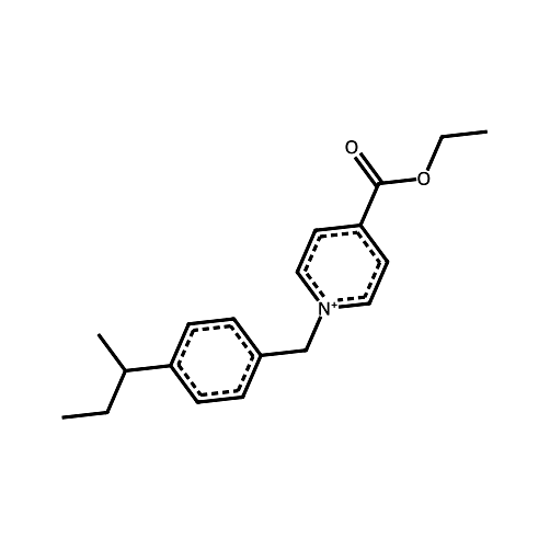 CCOC(=O)c1cc[n+](Cc2ccc(C(C)CC)cc2)cc1